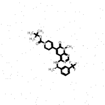 C[C@@H](Nc1ncnc2c1cc(C1=CCN(C(=O)OC(C)(C)C)CC1)c(=O)n2C)c1cccc(C(F)(F)F)c1